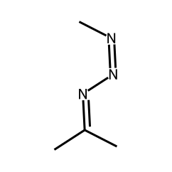 C/N=N\N=C(C)C